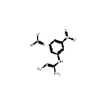 CN=C(N)Nc1cccc([N+](=O)[O-])c1.O=[N+]([O-])O